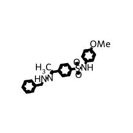 COc1ccc(NS(=O)(=O)c2ccc(C(C)=NNCc3ccccc3)cc2)cc1